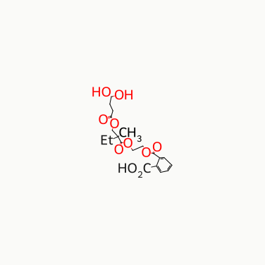 CCC(C)(COC(=O)CCC(O)O)C(=O)OCCOC(=O)c1ccccc1C(=O)O